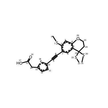 CSc1cc2c(cc1C#Cc1ccc(CC(=O)O)s1)C(SC)(SC)CCO2